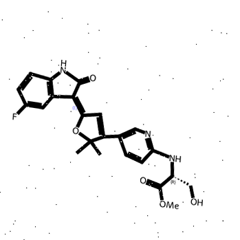 COC(=O)[C@@H](CO)Nc1ccc(C2=C/C(=C3\C(=O)Nc4ccc(F)cc43)OC2(C)C)cn1